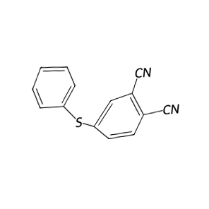 N#Cc1ccc(Sc2ccccc2)cc1C#N